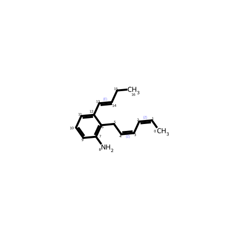 C/C=C\C=C/Cc1c(N)cccc1/C=C/CC